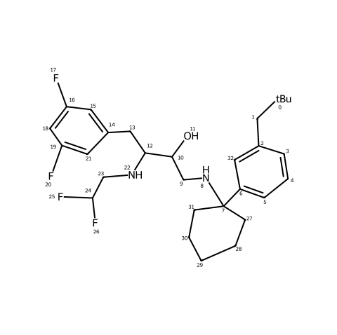 CC(C)(C)Cc1cccc(C2(NCC(O)C(Cc3cc(F)cc(F)c3)NCC(F)F)CCCCC2)c1